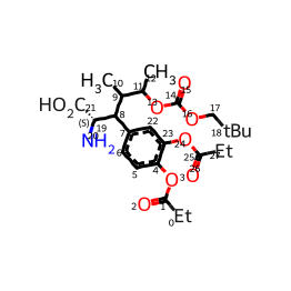 CCC(=O)Oc1ccc(C(C(C)C(C)OC(=O)OCC(C)(C)C)[C@H](N)C(=O)O)cc1OC(=O)CC